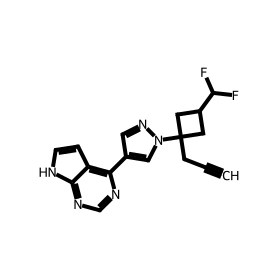 C#CCC1(n2cc(-c3ncnc4[nH]ccc34)cn2)CC(C(F)F)C1